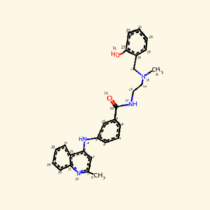 Cc1cc(Nc2cccc(C(=O)NCCN(C)Cc3ccccc3O)c2)c2ccccc2n1